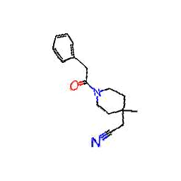 CC1(CC#N)CCN(C(=O)Cc2ccccc2)CC1